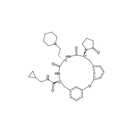 O=C(NCC1CC1)[C@@H]1Cc2cccc(c2)Oc2cccc(c2)C[C@H](N2CCCC2=O)C(=O)N[C@@H](CCN2CCCCC2)C(=O)N1